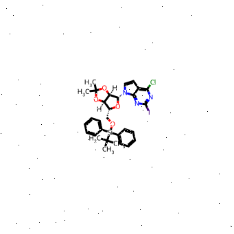 CC1(C)O[C@@H]2[C@H](O1)[C@@H](CO[Si](c1ccccc1)(c1ccccc1)C(C)(C)C)O[C@H]2n1ccc2c(Cl)nc(I)nc21